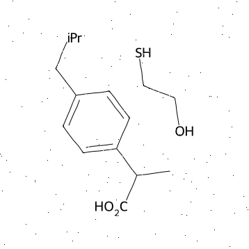 CC(C)Cc1ccc(C(C)C(=O)O)cc1.OCCS